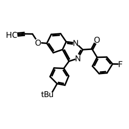 C#CCOc1ccc2nc(C(=O)c3cccc(F)c3)nc(-c3ccc(C(C)(C)C)cc3)c2c1